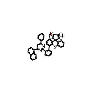 c1ccc(-c2cc(-c3cccc4ccccc34)nc(-c3ccccc3-c3cccc4c3Sc3ccccc3C43c4ccccc4-c4ccccc43)n2)cc1